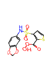 O=C(OO)c1sccc1S(=O)(=O)Nc1ccc2c(c1)OCO2